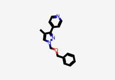 Cc1cn(COCc2ccccc2)nc1-c1ccncc1